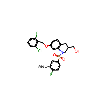 COc1cc(S(=O)(=O)N2CC(CO)Cc3ccc(OCc4c(F)cccc4Cl)cc32)ccc1F